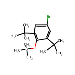 CC(C)(C)c1cc(Br)cc(C(C)(C)C)c1O[Si](C)(C)C